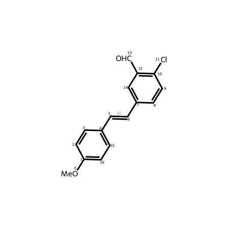 COc1ccc(/C=C/c2ccc(Cl)c(C=O)c2)cc1